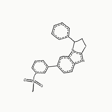 CS(=O)(=O)c1cccc(-c2ccc3nc4n(c3c2)C(c2ccccc2)CC4)c1